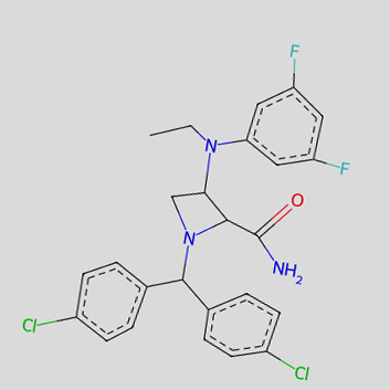 CCN(c1cc(F)cc(F)c1)C1CN(C(c2ccc(Cl)cc2)c2ccc(Cl)cc2)C1C(N)=O